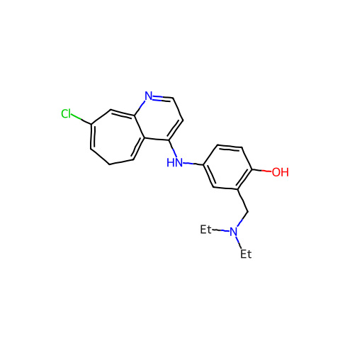 CCN(CC)Cc1cc(Nc2ccnc3c2=CCC=C(Cl)C=3)ccc1O